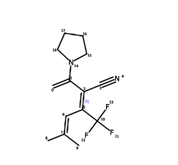 C=C(/C(C#N)=C(\C=C(C)C)C(F)(F)F)N1CCCC1